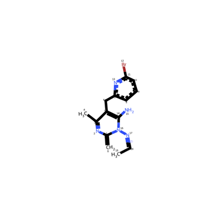 C=C1N=C(C)C(Cc2cccc(Br)n2)=C(N)N1/N=C\C